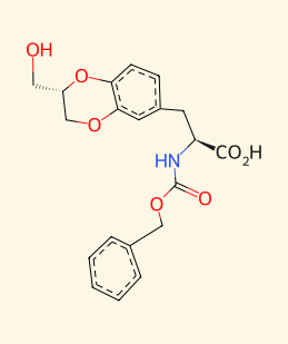 O=C(N[C@@H](Cc1ccc2c(c1)OC[C@H](CO)O2)C(=O)O)OCc1ccccc1